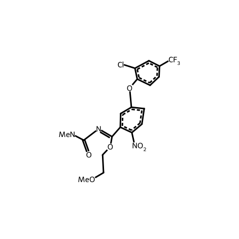 CNC(=O)N=C(OCCOC)c1cc(Oc2ccc(C(F)(F)F)cc2Cl)ccc1[N+](=O)[O-]